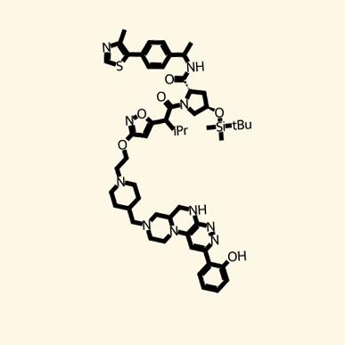 Cc1ncsc1-c1ccc(C(C)NC(=O)[C@@H]2C[C@@H](O[Si](C)(C)C(C)(C)C)CN2C(=O)C(c2cc(OCCN3CCC(CN4CCN5c6cc(-c7ccccc7O)nnc6NCC5C4)CC3)no2)C(C)C)cc1